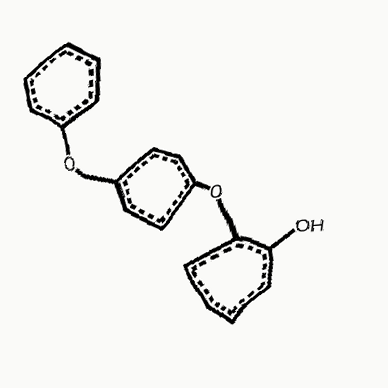 Oc1ccccc1Oc1ccc(Oc2ccccc2)cc1